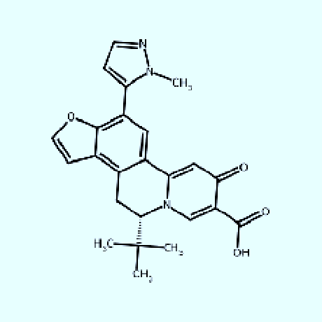 Cn1nccc1-c1cc2c(c3ccoc13)C[C@@H](C(C)(C)C)n1cc(C(=O)O)c(=O)cc1-2